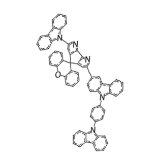 c1ccc2c(c1)Oc1ccccc1C21c2cc(-c3ccc4c(c3)c3ccccc3n4-c3ccc(-n4c5ccccc5c5ccccc54)cc3)cnc2-c2ncc(-n3c4ccccc4c4ccccc43)cc21